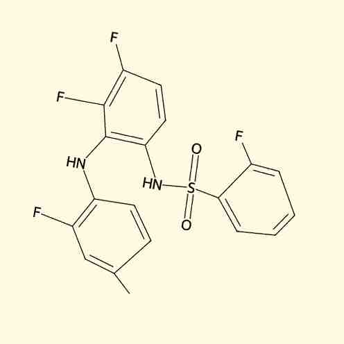 Cc1ccc(Nc2c(NS(=O)(=O)c3ccccc3F)ccc(F)c2F)c(F)c1